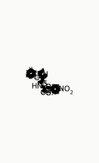 O=C(C1NC=C(c2cnccc2Oc2ccccc2)S1)S(=O)(=O)c1ccc([N+](=O)[O-])cc1